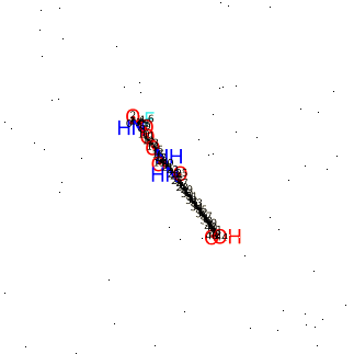 CC(=O)C(CCF)NC(=O)COCCOCCNC(=O)CCCNC(=O)CCCCCCCCCCCCCCCCC(=O)O